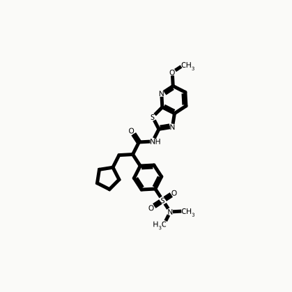 COc1ccc2nc(NC(=O)C(CC3CCCC3)c3ccc(S(=O)(=O)N(C)C)cc3)sc2n1